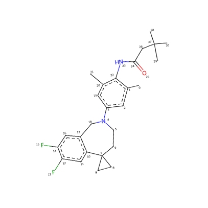 Cc1cc(N2CCC3(CC3)c3cc(F)c(F)cc3C2)cc(C)c1NC(=O)CC(C)(C)C